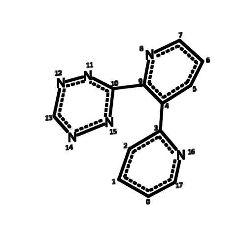 c1ccc(-c2cccnc2-c2nncnn2)nc1